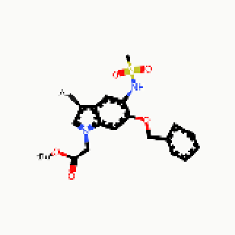 CC(=O)c1cn(CC(=O)OC(C)(C)C)c2cc(OCc3ccccc3)c(NS(C)(=O)=O)cc12